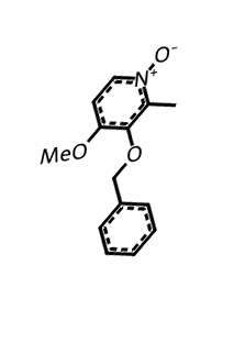 COc1cc[n+]([O-])c(C)c1OCc1ccccc1